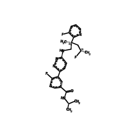 CC(C)NC(=O)c1ccc(F)c(-c2ccc(NC[C@](C)(C[C@H](C)F)c3ncccc3F)nn2)c1